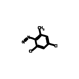 Cc1cc(Cl)cc(Cl)c1N=[N]